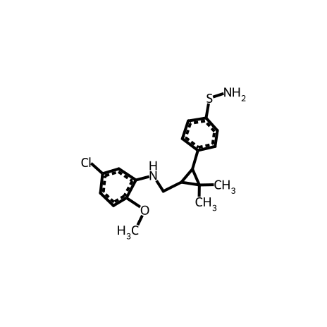 COc1ccc(Cl)cc1NCC1C(c2ccc(SN)cc2)C1(C)C